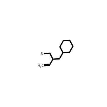 C=CC(CBr)CC1CCCCC1